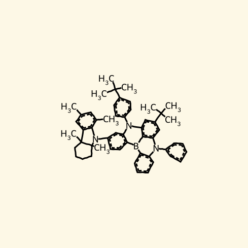 Cc1cc(C)c2c(c1)C1(C)CCCCC1(C)N2c1ccc2c(c1)N(c1ccc(C(C)(C)C)cc1)c1cc(C(C)(C)C)cc3c1B2c1ccccc1N3c1ccccc1